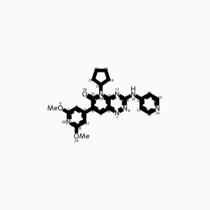 COc1cc(-c2cc3nnc(Nc4ccncc4)nc3n(C3CCCC3)c2=O)cc(OC)n1